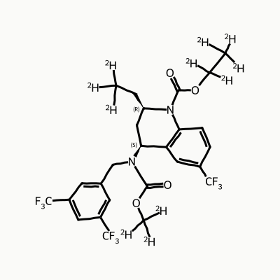 [2H]C([2H])([2H])C[C@@H]1C[C@H](N(Cc2cc(C(F)(F)F)cc(C(F)(F)F)c2)C(=O)OC([2H])([2H])[2H])c2cc(C(F)(F)F)ccc2N1C(=O)OC([2H])([2H])C([2H])([2H])[2H]